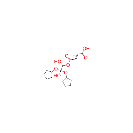 O=C(O)/C=C/C(=O)OC(O)C(O)(OC1=CCCC1)OC1=CCCC1